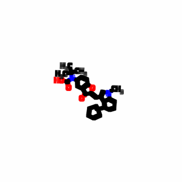 Cn1cc(C=C2Oc3ccc(N(C(=O)O)C(C)(C)C)cc3C2=O)c2c(-c3ccccc3)cccc21